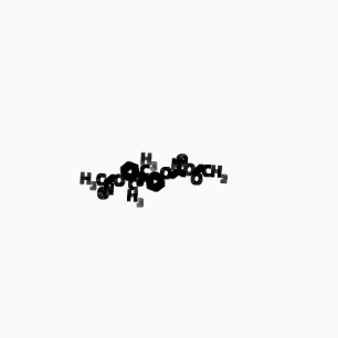 C=CC(=O)OCC(COc1cccc(C(C)(CC)c2cccc(OCC(C)N=O)c2)c1)N=O